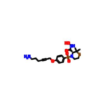 CC1(C)SCCN(S(=O)(=O)c2ccc(OCC#CCCCN)cc2)[C@H]1C(=O)NO